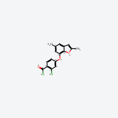 Cc1cc2cc(C(F)(F)F)cc(Oc3ccc(C(=O)Cl)c(Cl)c3)c2o1